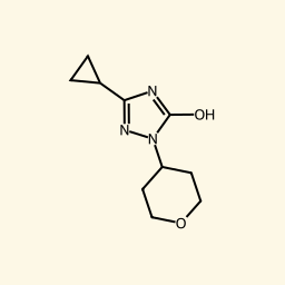 Oc1nc(C2CC2)nn1C1CCOCC1